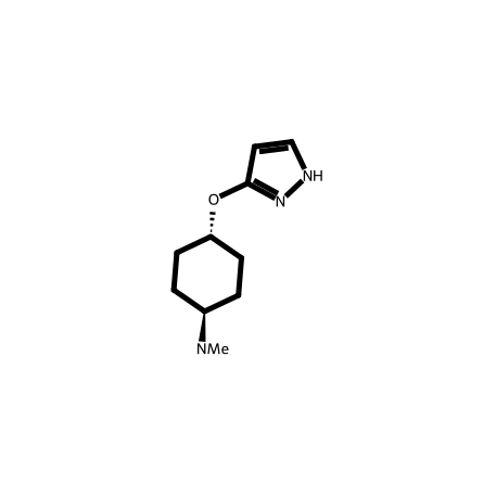 CN[C@H]1CC[C@H](Oc2cc[nH]n2)CC1